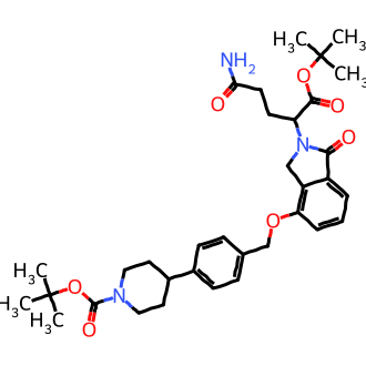 CC(C)(C)OC(=O)C(CCC(N)=O)N1Cc2c(OCc3ccc(C4CCN(C(=O)OC(C)(C)C)CC4)cc3)cccc2C1=O